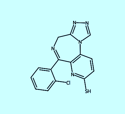 Sc1ccc2c(n1)C(c1ccccc1Cl)=NCc1nncn1-2